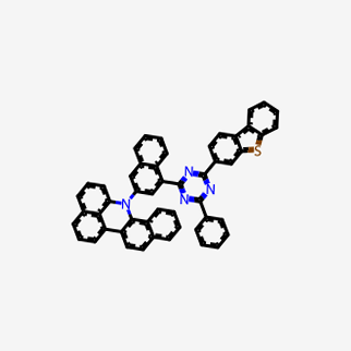 c1ccc(-c2nc(-c3ccc4c(c3)sc3ccccc34)nc(-c3cc(N4c5c(ccc6ccccc56)-c5cccc6cccc4c56)cc4ccccc34)n2)cc1